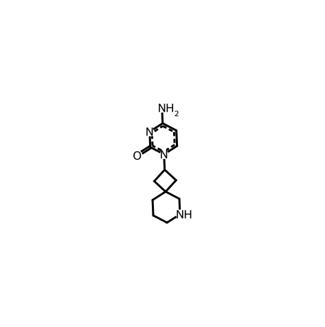 Nc1ccn(C2CC3(CCCNC3)C2)c(=O)n1